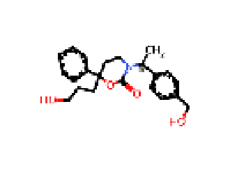 C[C@@H](c1ccc(CO)cc1)N1CCC(CCCO)(c2ccccc2)OC1=O